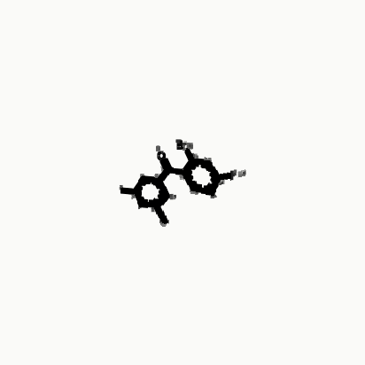 Cc1cc(C)cc(C(=O)c2ccc(F)cc2Br)c1